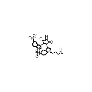 CNCCCn1cc(C2=C(c3c[nH]c4ccc([N+](=O)[O-])cc34)C(=O)NC2=O)c2cc([N+](=O)[O-])ccc21